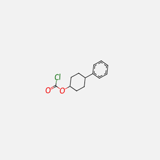 O=C(Cl)OC1CCC(c2ccccc2)CC1